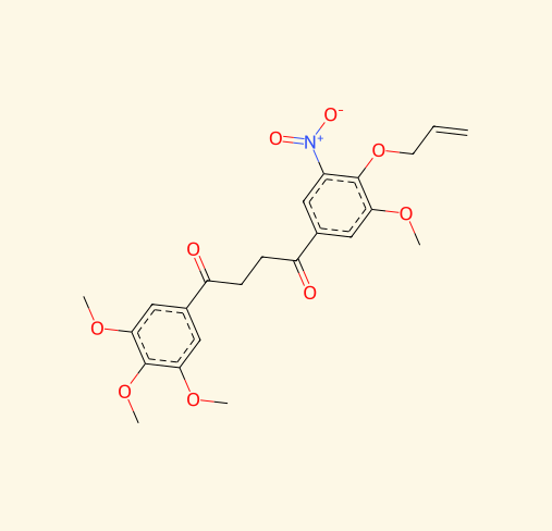 C=CCOc1c(OC)cc(C(=O)CCC(=O)c2cc(OC)c(OC)c(OC)c2)cc1[N+](=O)[O-]